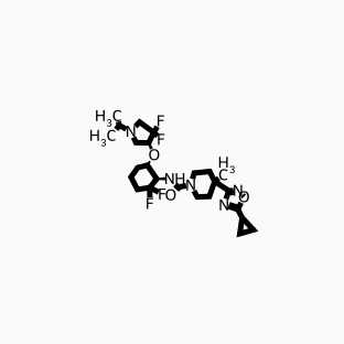 CC(C)N1C[C@H](O[C@H]2CCCC(F)(F)[C@@H]2NC(=O)N2CCC(C)(c3noc(C4CC4)n3)CC2)C(F)(F)C1